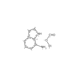 CCOC=O.Nc1cccc2cc[nH]c12